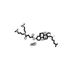 CC(C)CCC[C@@H](C)[C@H]1CC[C@H]2[C@@H]3CC=C4C[C@@H](OC(=O)CCC(=O)N(CCCN(C)C)CCCN(C)C)CC[C@]4(C)[C@H]3CC[C@]12C.Cl.Cl